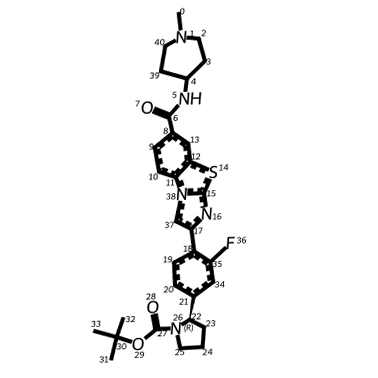 CN1CCC(NC(=O)c2ccc3c(c2)sc2nc(-c4ccc([C@H]5CCCN5C(=O)OC(C)(C)C)cc4F)cn23)CC1